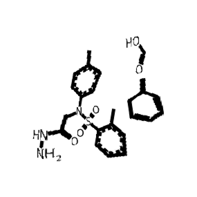 C=C1C=CC=CC1.Cc1ccc(N(CC(=O)NN)S(=O)(=O)c2ccccc2C)cc1.O=CO